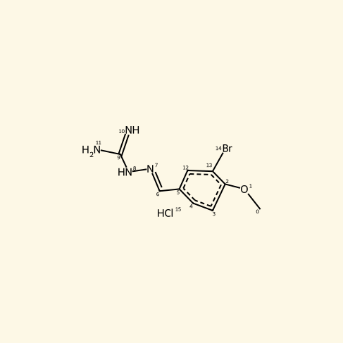 COc1ccc(C=NNC(=N)N)cc1Br.Cl